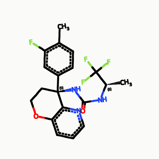 Cc1ccc([C@@]2(NC(=O)N[C@@H](C)C(F)(F)F)CCOc3cccnc32)cc1F